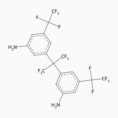 Nc1cc(C(F)(F)C(F)(F)F)cc(C(c2cc(N)cc(C(F)(F)C(F)(F)F)c2)(C(F)(F)F)C(F)(F)F)c1